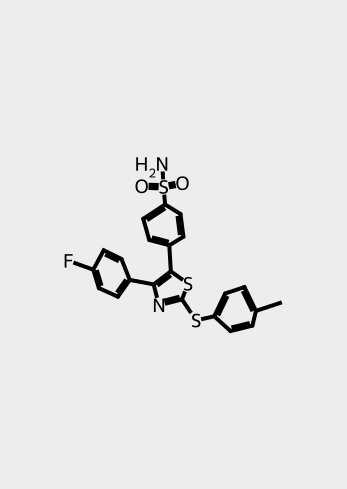 Cc1ccc(Sc2nc(-c3ccc(F)cc3)c(-c3ccc(S(N)(=O)=O)cc3)s2)cc1